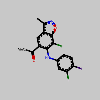 COC(=O)c1cc2c(C)noc2c(F)c1Nc1ccc(I)c(F)c1